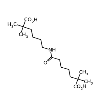 CC(C)(CCCCNC(=O)CCCCC(C)(C)C(=O)O)C(=O)O